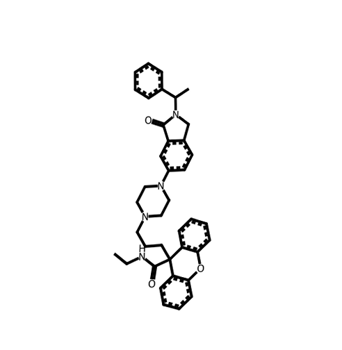 CCNC(=O)C1(CCCN2CCN(c3ccc4c(c3)C(=O)N(C(C)c3ccccc3)C4)CC2)c2ccccc2Oc2ccccc21